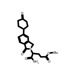 CC(C)(C)OC(=O)CCC(C(N)=O)N1Cc2cc(C3CCC(=O)CC3)ccc2C1=O